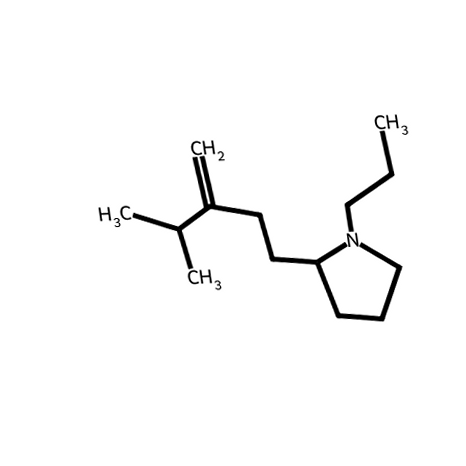 C=C(CCC1CCCN1CCC)C(C)C